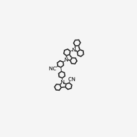 N#Cc1ccc(-n2c3ccccc3c3c(-n4c5ccccc5c5ccccc54)cccc32)cc1-c1ccc(-n2c3ccccc3c3cccc(C#N)c32)cc1